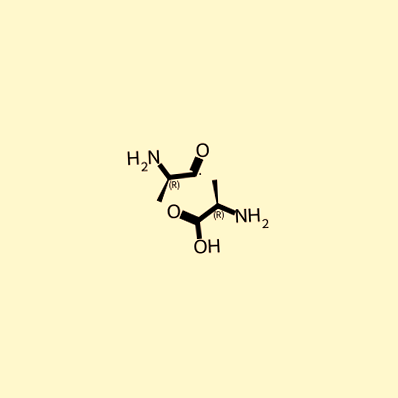 C[C@@H](N)C(=O)O.C[C@@H](N)[C]=O